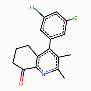 Cc1nc2c(c(-c3cc(Cl)cc(Cl)c3)c1C)CCCC2=O